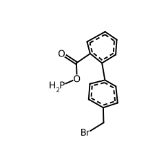 O=C(OP)c1ccccc1-c1ccc(CBr)cc1